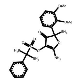 BC1(c2cccc(OC)c2OC)OC(N)=C(OS(=O)(=O)C(B)(B)c2ccccc2)C1=O